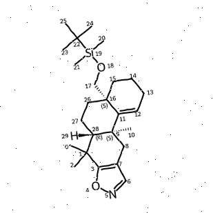 CC1(C)c2oncc2C[C@]2(C)C3=CCCC[C@]3(CO[Si](C)(C)C(C)(C)C)CC[C@@H]12